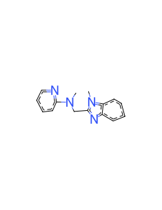 CN(Cc1nc2ccccc2n1C)c1ccccn1